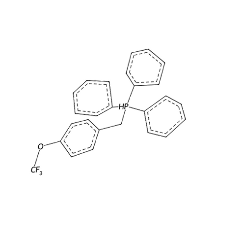 FC(F)(F)Oc1ccc(C[PH](c2ccccc2)(c2ccccc2)c2ccccc2)cc1